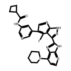 O=C(Nc1cncc(-c2cnc3[nH]nc(-c4nc5c(N6CCCCC6)ccnc5[nH]4)c3c2F)c1)C1CCC1